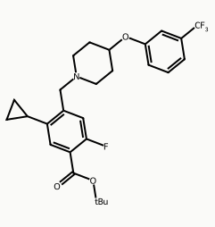 CC(C)(C)OC(=O)c1cc(C2CC2)c(CN2CCC(Oc3cccc(C(F)(F)F)c3)CC2)cc1F